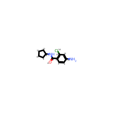 Nc1ccc(C(=O)NC2CCCC2)c(Cl)c1